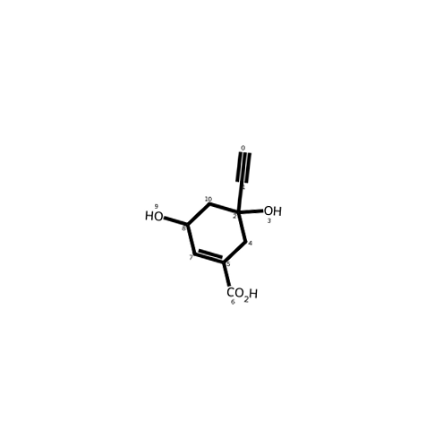 C#CC1(O)CC(C(=O)O)=CC(O)C1